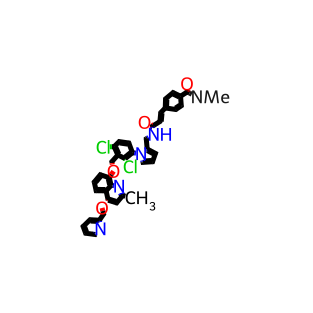 CNC(=O)c1ccc(C=CC(=O)NCc2cccn2-c2ccc(Cl)c(COc3cccc4c(OCc5ccccn5)cc(C)nc34)c2Cl)cc1